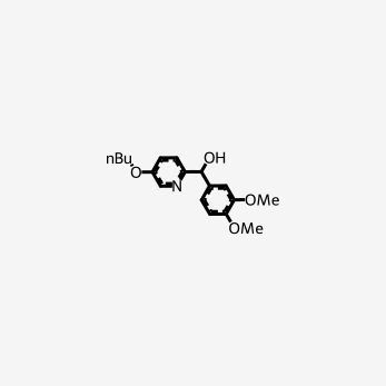 CCCCOc1ccc(C(O)c2ccc(OC)c(OC)c2)nc1